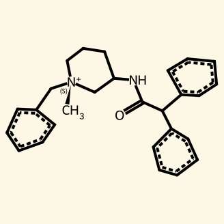 C[N@@+]1(Cc2ccccc2)CCCC(NC(=O)C(c2ccccc2)c2ccccc2)C1